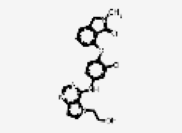 CN1Cc2cccc(Oc3ccc(Nc4ncnc5ccn(CCO)c45)cc3Cl)c2C1=O